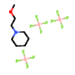 COCCN1CCCCC1.F[B-](F)(F)F.F[B-](F)(F)F.F[B-](F)(F)F